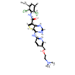 CCN(CC)CCOCc1ccc(Nc2ncnc3c(C(=O)Nc4c(Cl)c(C)cc(OC)c4Cl)csc23)nc1